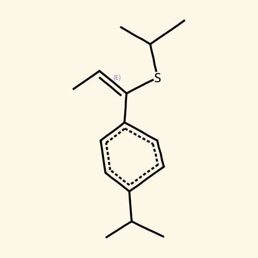 C/C=C(/SC(C)C)c1ccc(C(C)C)cc1